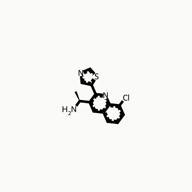 C[C@H](N)c1cc2cccc(Cl)c2nc1-c1cncs1